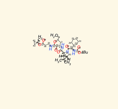 C=CCCC(NC(=O)[C@@H]1[C@@H]2[C@H](CN1C(=O)[C@@H](NC(=O)OC(C)(C)C)C1CCCCC1)C2(C)C)C(=O)C(=O)NCCC(=O)OC1(C)CC1